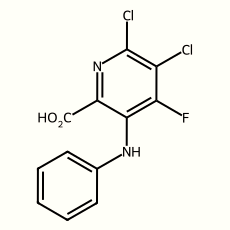 O=C(O)c1nc(Cl)c(Cl)c(F)c1Nc1ccccc1